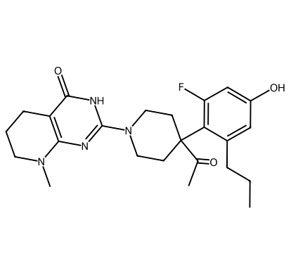 CCCc1cc(O)cc(F)c1C1(C(C)=O)CCN(c2nc3c(c(=O)[nH]2)CCCN3C)CC1